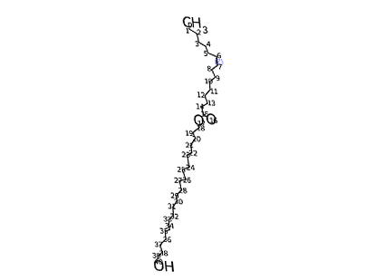 CCCCCC/C=C\CCCCCCCC(=O)OCCCCCCCCCCCCCCCCCCCCCCO